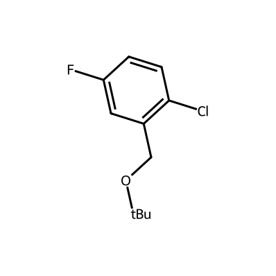 CC(C)(C)OCc1cc(F)ccc1Cl